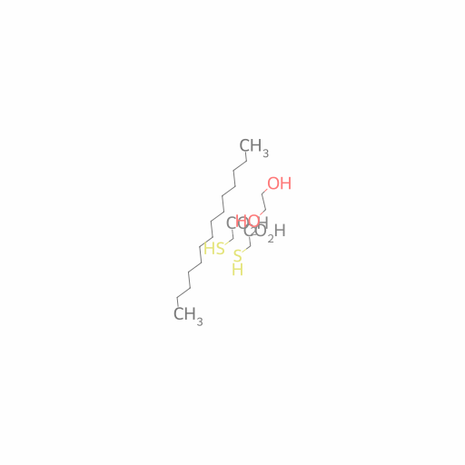 CCCCCCCCCCCCCC.O=C(O)CS.O=C(O)CS.OCCO